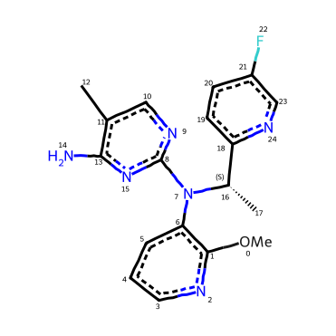 COc1ncccc1N(c1ncc(C)c(N)n1)[C@@H](C)c1ccc(F)cn1